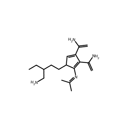 C=C(N)C1=CC(CCC(CC)CN)C(N=C(C)C)=C1C(=C)N